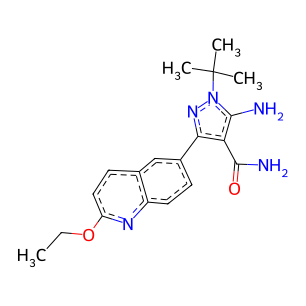 CCOc1ccc2cc(-c3nn(C(C)(C)C)c(N)c3C(N)=O)ccc2n1